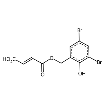 O=C(O)C=CC(=O)OCc1cc(Br)cc(Br)c1O